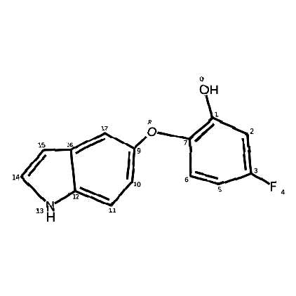 Oc1cc(F)ccc1Oc1ccc2[nH]ccc2c1